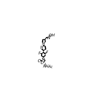 CC(=O)NC[C@H]1CN(c2cc(F)c(-c3ccc(-n4ccc(C=NO)c4)nc3)c(F)c2)C(=O)O1